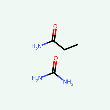 CCC(N)=O.NC(N)=O